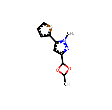 CC1OC(c2cc(-c3cccs3)n(C)n2)O1